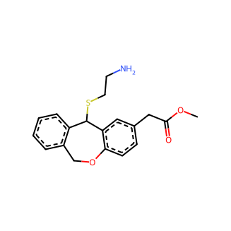 COC(=O)Cc1ccc2c(c1)C(SCCN)c1ccccc1CO2